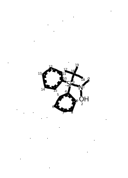 CN(O)[Si](c1ccccc1)(c1ccccc1)C(C)(C)C